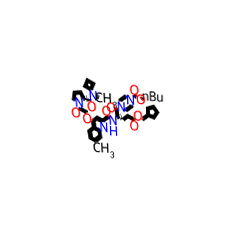 CCCCOC(=O)N1CCN(C(=O)[C@H](CCC(=O)OCC2CCCC2)NC(=O)c2cc(OCC(=O)N3CCC[C@H]3C(=O)N(C)C3CCC3)c3ccc(C)cc3n2)CC1